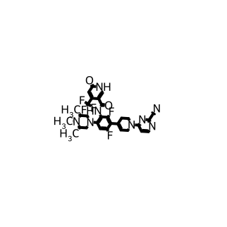 CC1CN(c2cc(F)c(C3=CCN(c4ccnc(C#N)n4)CC3)c(F)c2NC(=O)c2c[nH]c(=O)cc2C(F)(F)F)CC(C)N1C